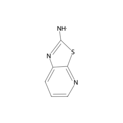 [NH]c1nc2cccnc2s1